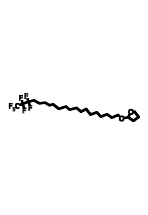 FC(F)(F)C(F)(F)C(F)(F)CCCCCCCCCCCCCCCCCOC1CCCO1